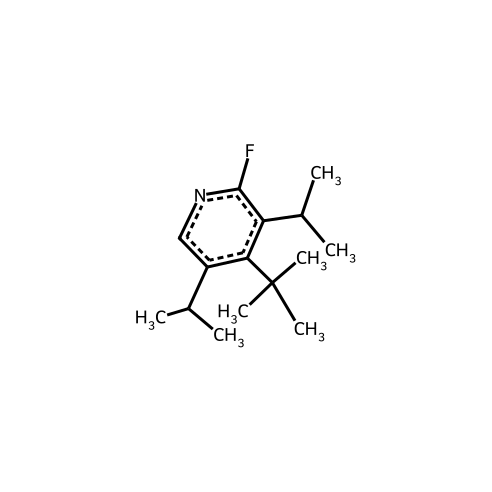 CC(C)c1cnc(F)c(C(C)C)c1C(C)(C)C